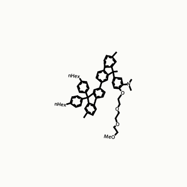 CCCCCCc1ccc(C2(c3ccc(CCCCCC)cc3)c3cc(C)ccc3-c3ccc(-c4ccc5c(c4)C(C)(c4ccc(OCCOCCOCCOC)c(N(C)C)c4)c4cc(C)ccc4-5)cc32)cc1